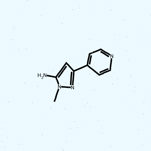 Cn1nc(-c2ccncc2)cc1N